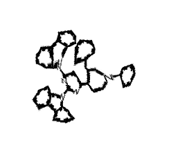 C1=CN(c2ccccc2)CC(c2ccccc2)=C1c1cc(-n2c3ccccc3c3ccccc32)nc(-n2c3ccccc3c3ccccc32)n1